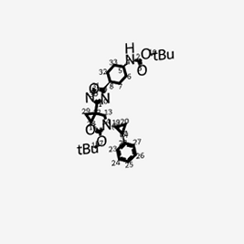 CC(C)(C)OC(=O)N[C@H]1CC[C@@H](c2nc(C3(CN(C(=O)OC(C)(C)C)[C@@H]4C[C@H]4c4ccccc4)CC3)no2)CC1